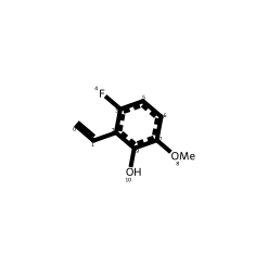 C=Cc1c(F)ccc(OC)c1O